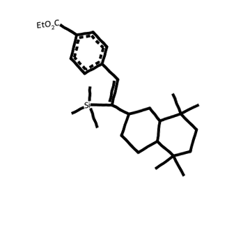 CCOC(=O)c1ccc(C=C(C2CCC3C(C2)C(C)(C)CCC3(C)C)[Si](C)(C)C)cc1